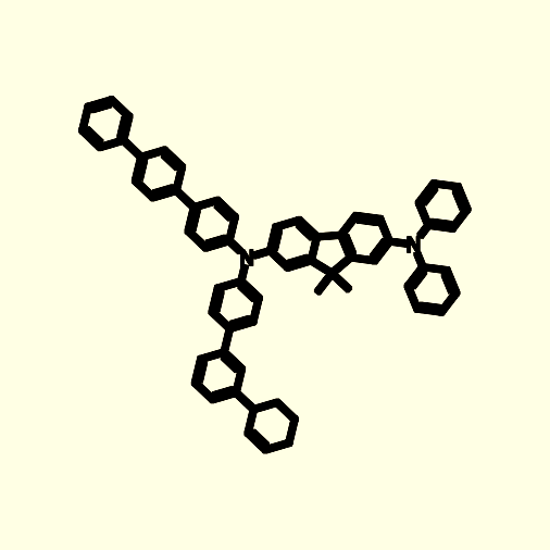 CC1(C)c2cc(N(c3ccccc3)c3ccccc3)ccc2-c2ccc(N(c3ccc(-c4ccc(-c5ccccc5)cc4)cc3)c3ccc(-c4cccc(C5C=CCCC5)c4)cc3)cc21